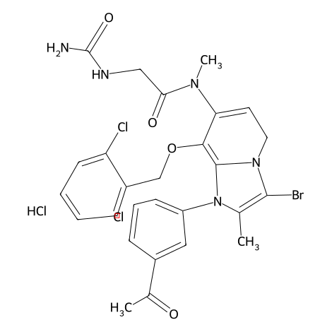 CC(=O)c1cccc(N2C(C)=C(Br)N3CC=C(N(C)C(=O)CNC(N)=O)C(OCc4c(Cl)cccc4Cl)=C32)c1.Cl